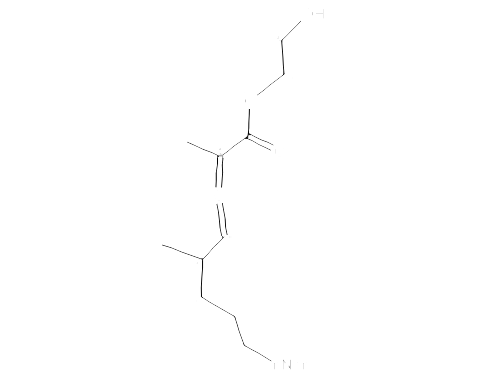 CCCCCCCCCCCCC(C)C=C=C(C)C(=O)OCCO